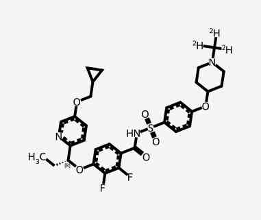 [2H]C([2H])([2H])N1CCC(Oc2ccc(S(=O)(=O)NC(=O)c3ccc(O[C@H](CC)c4ccc(OCC5CC5)cn4)c(F)c3F)cc2)CC1